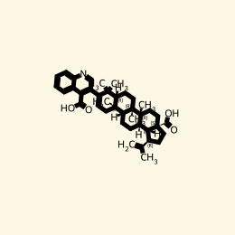 C=C(C)[C@@H]1CC[C@]2(C(=O)O)CC[C@]3(C)[C@H](CC[C@@H]4[C@@]5(C)CC=C(c6cnc7ccccc7c6C(=O)O)C(C)(C)[C@@H]5CC[C@]43C)[C@@H]12